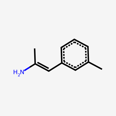 C/C(N)=C\c1cccc(C)c1